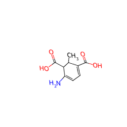 CC1C(C(=O)O)=CC=C(N)C1C(=O)O